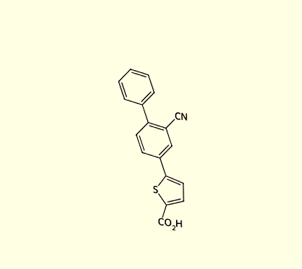 N#Cc1cc(-c2ccc(C(=O)O)s2)ccc1-c1ccccc1